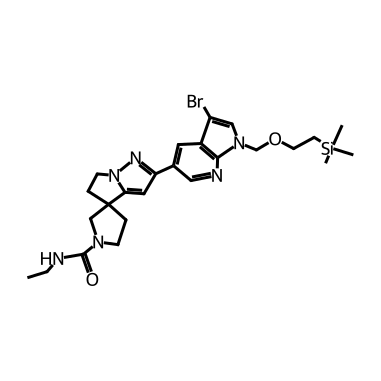 CCNC(=O)N1CCC2(CCn3nc(-c4cnc5c(c4)c(Br)cn5COCC[Si](C)(C)C)cc32)C1